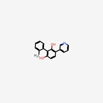 Cc1ccccc1-c1c(O)ccc(-c2cccnc2)c1O